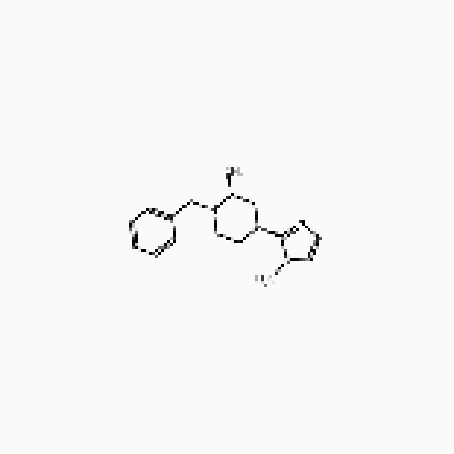 C[C@H]1C[C@@H](c2nncn2C)CCN1Cc1ccccc1